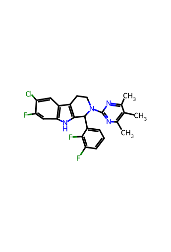 Cc1nc(N2CCc3c([nH]c4cc(F)c(Cl)cc34)C2c2cccc(F)c2F)nc(C)c1C